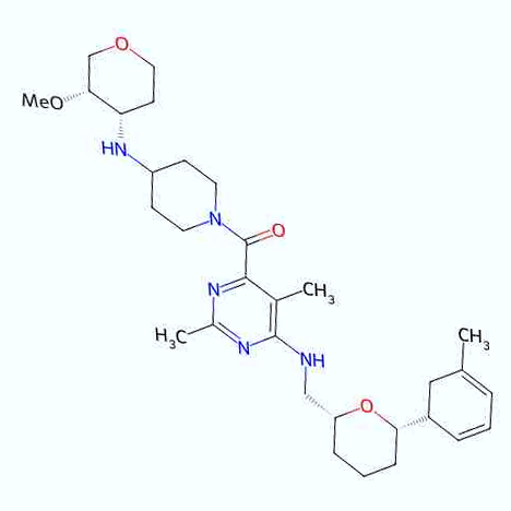 CO[C@@H]1COCC[C@@H]1NC1CCN(C(=O)c2nc(C)nc(NC[C@H]3CCC[C@@H](C4C=CC=C(C)C4)O3)c2C)CC1